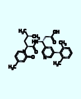 Cc1ccn(C(CC(C)C)C(=O)N[C@H](CC(=O)O)c2cncc(-c3c(C)cccc3C)c2)c(=O)c1